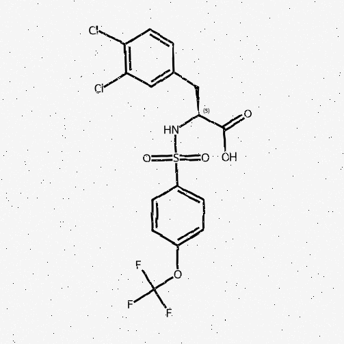 O=C(O)[C@H](Cc1ccc(Cl)c(Cl)c1)NS(=O)(=O)c1ccc(OC(F)(F)F)cc1